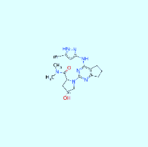 CC(C)c1cc(Nc2nc(N3C[C@H](O)CC3C(=O)N(C)C)nc3c2CCC3)n[nH]1